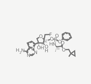 C[C@H](N[P@@](=O)(OC[C@@]1(CF)OC[C@](O)(c2ccc3c(N)ncnn23)[C@@H]1O)Oc1ccccc1)C(=O)OCC1(C)CC1